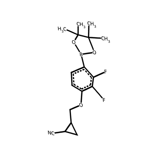 CC1(C)OB(c2ccc(OCC3CC3C#N)c(F)c2F)OC1(C)C